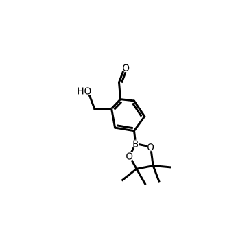 CC1(C)OB(c2ccc(C=O)c(CO)c2)OC1(C)C